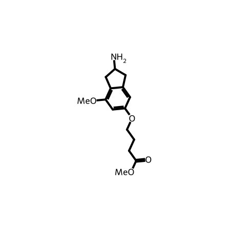 COC(=O)CCCOc1cc2c(c(OC)c1)CC(N)C2